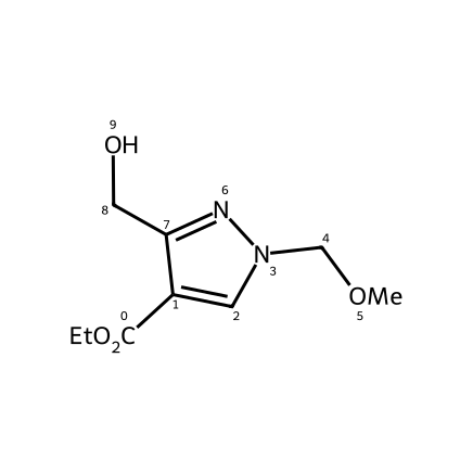 CCOC(=O)c1cn(COC)nc1CO